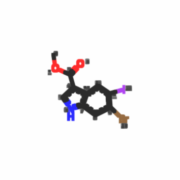 COC(=O)c1c[nH]c2cc(Br)c(I)cc12